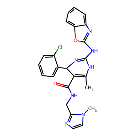 CC1=C(C(=O)NCc2nccn2C)C(c2ccccc2Cl)N=C(Nc2nc3ccccc3o2)N1